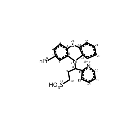 CCCc1ccc2c(c1)N(C(CCS(=O)(=O)O)c1ccccn1)c1ccccc1S2